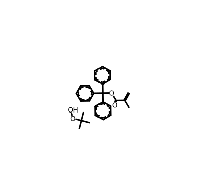 C=C(C)C(=O)OC(c1ccccc1)(c1ccccc1)c1ccccc1.CC(C)(C)OO